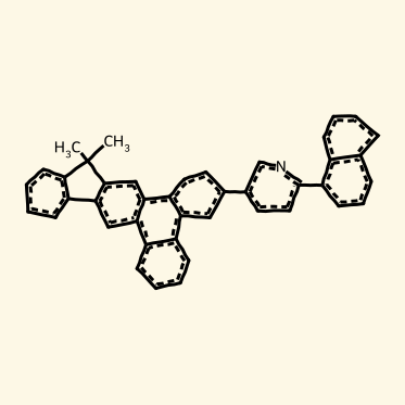 CC1(C)c2ccccc2-c2cc3c4ccccc4c4cc(-c5ccc(-c6cccc7ccccc67)nc5)ccc4c3cc21